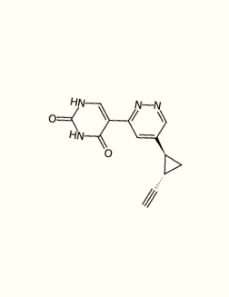 C#C[C@H]1C[C@@H]1c1cnnc(-c2c[nH]c(=O)[nH]c2=O)c1